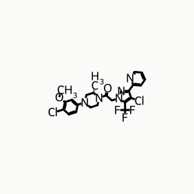 COc1cc(N2CCN(C(=O)Cn3nc(-c4ccccn4)c(Cl)c3C(F)(F)F)[C@@H](C)C2)ccc1Cl